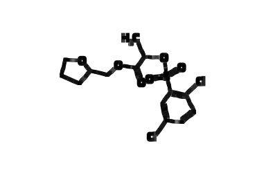 CC(OS(=O)(=O)c1cc(Cl)ccc1Cl)C(=O)OCC1CCCO1